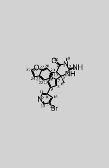 CN1C(=N)N[C@](C)(c2cc(-c3cncc(Br)c3)cs2)[C@@H](c2ccc3ccoc3c2)C1=O